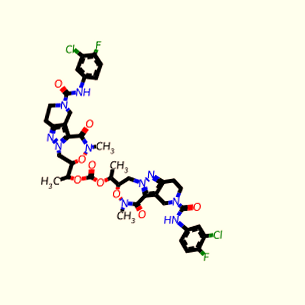 CC(OC(=O)OC(C)C1Cn2nc3c(c2C(=O)N(C)O1)CN(C(=O)Nc1ccc(F)c(Cl)c1)CC3)C1Cn2nc3c(c2C(=O)N(C)O1)CN(C(=O)Nc1ccc(F)c(Cl)c1)CC3